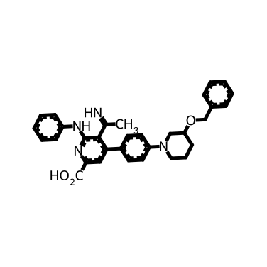 CC(=N)c1c(-c2ccc(N3CCCC(OCc4ccccc4)C3)cc2)cc(C(=O)O)nc1Nc1ccccc1